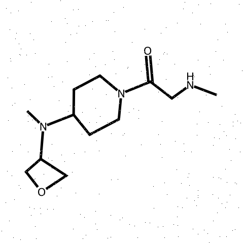 CNCC(=O)N1CCC(N(C)C2COC2)CC1